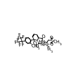 Cc1cc(C(F)(C(F)(F)F)C(F)(F)F)ccc1C1(Cl)C=CC=C(C(=O)NC(C)CS(C)(=O)=O)[C@H]1C(N)=O